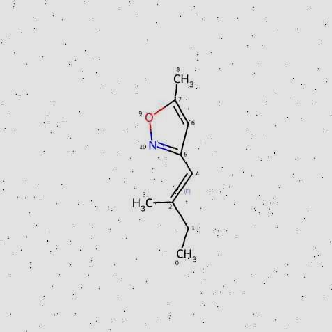 CC/C(C)=C/c1cc(C)on1